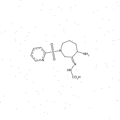 NC1CCCN(S(=O)(=O)c2ccccn2)CC1=NNC(=O)O